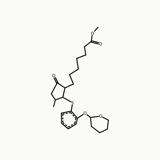 COC(=O)CCCCCCC1C(=O)CC(C)C1Sc1ccccc1OC1CCCCO1